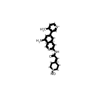 Cc1ccncc1-c1cc(N)c2cnc(NC(=O)C=C3CCN(N=O)CC3)cc2c1